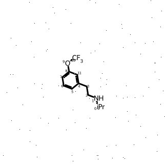 CC(C)NCCc1cccc(OC(F)(F)F)c1